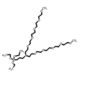 CCO[Si](CCCN(CCOCCOCCOCCOCCOC)CCOCCOCCOCCOCCOC)(OCC)OCC